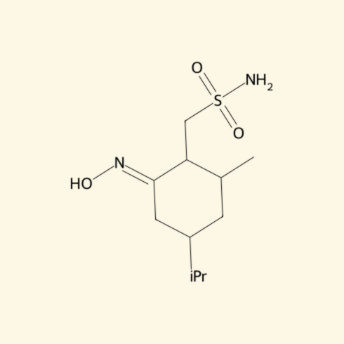 CC(C)C1C/C(=N\O)C(CS(N)(=O)=O)C(C)C1